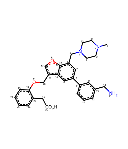 CN1CCN(Cc2cc(-c3cccc(CN)c3)cc3c(COc4ccccc4CC(=O)O)coc23)CC1